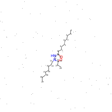 CCCCCCCCCC(=O)NN(CCCCCCCC)C(=O)CC